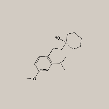 COc1ccc(CCC2(O)CCCCC2)c(N(C)C)c1